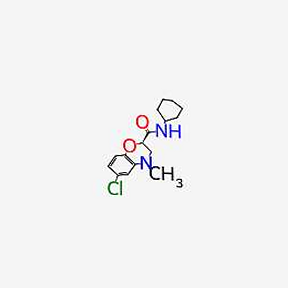 CN1C[C@H](C(=O)NC2CCCCC2)Oc2ccc(Cl)cc21